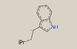 CC(C)C[CH]c1c[nH]c2ccccc12